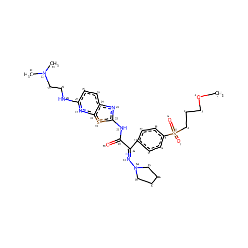 COCCCS(=O)(=O)c1ccc(/C(=N\N2CCCC2)C(=O)Nc2nc3ccc(NCCN(C)C)nc3s2)cc1